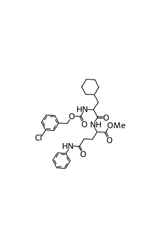 COC(=O)C(CCC(=O)Nc1ccccc1)NC(=O)C(CC1CCCCC1)NC(=O)OCc1cccc(Cl)c1